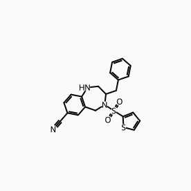 N#Cc1ccc2c(c1)CN(S(=O)(=O)c1cccs1)C(Cc1ccccc1)CN2